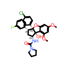 COc1cc(OC)c2c(c1)O[C@]1(c3ccc(Cl)cc3)[C@@H](c3cccc(F)c3)C[C@@H](NC(=O)N3CCCC3)[C@]21O